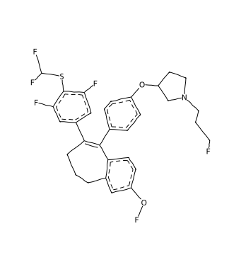 FCCCN1CCC(Oc2ccc(C3=C(c4cc(F)c(SC(F)F)c(F)c4)CCCc4cc(OF)ccc43)cc2)C1